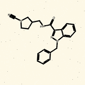 N#CN1CCC(CNC(=O)c2nn(Cc3ccccc3)c3ccccc23)C1